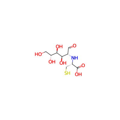 O=C[C@H](N[C@@H](CS)C(=O)O)[C@@H](O)[C@H](O)[C@H](O)CO